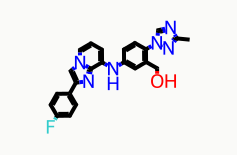 Cc1ncn(-c2ccc(Nc3cccn4cc(-c5ccc(F)cc5)nc34)cc2CO)n1